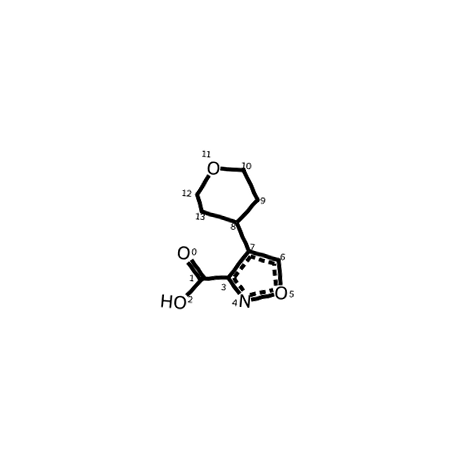 O=C(O)c1nocc1C1CCOCC1